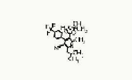 Cc1nc(CC(C)C)c(C#N)c(-c2ccc(C(F)(F)F)cc2)c1C(=O)OC(C)(C)C